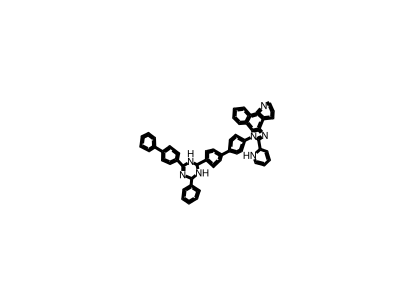 C1=CNC(c2nc3c4cccnc4c4ccccc4c3n2-c2ccc(-c3ccc(C4NC(c5ccc(-c6ccccc6)cc5)=NC(c5ccccc5)N4)cc3)cc2)C=C1